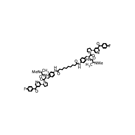 CN[C@@H](C)C(=O)N[C@@H](Cc1ccc(NC(=O)CCCCCCCCC(=O)Nc2ccc(C[C@H](NC(=O)[C@H](C)NC)C(=O)N3CCC[C@H]3c3cncc(C(=O)c4ccc(F)cc4)c3)cc2)cc1)C(=O)N1CCC[C@H]1c1cncc(C(=O)c2ccc(F)cc2)c1